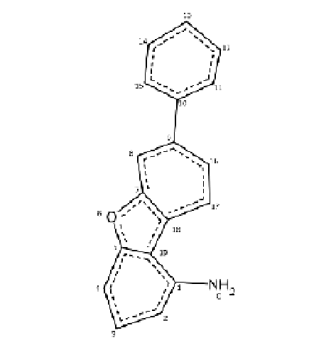 Nc1cccc2oc3cc(-c4ccccc4)ccc3c12